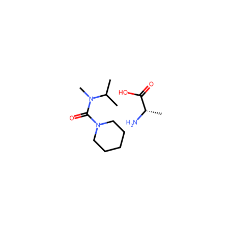 CC(C)N(C)C(=O)N1CCCCC1.C[C@H](N)C(=O)O